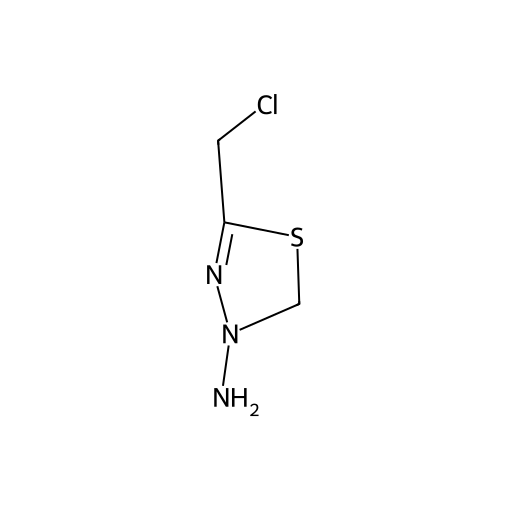 NN1CSC(CCl)=N1